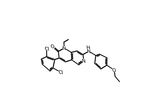 CCOc1ccc(Nc2cc3c(cn2)cc(-c2c(Cl)cccc2Cl)c(=O)n3CC)cc1